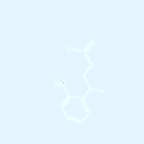 CC(COC(=S)Cl)c1ccccc1[N+](=O)[O-]